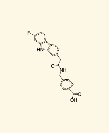 O=C(Cc1ccc2c(c1)[nH]c1cc(F)ccc12)NCc1ccc(C(=O)O)cc1